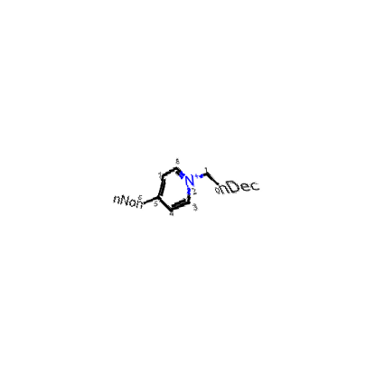 CCCCCCCCCCC[n+]1ccc(CCCCCCCCC)cc1